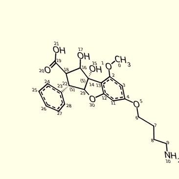 COc1cc(OCCCCN)cc2c1[C@]1(O)C(O)C(C(=O)O)[C@@H](c3ccccc3)C1O2